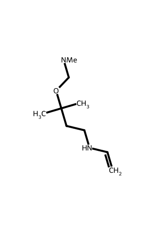 C=CNCCC(C)(C)OCNC